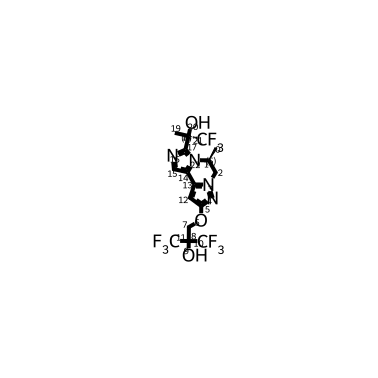 C[C@H]1Cn2nc(OCC(O)(C(F)(F)F)C(F)(F)F)cc2-c2cnc([C@@](C)(O)C(F)(F)F)n21